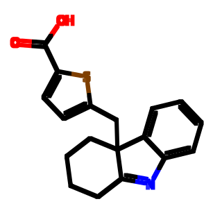 O=C(O)c1ccc(CC23CCCCC2=Nc2ccccc23)s1